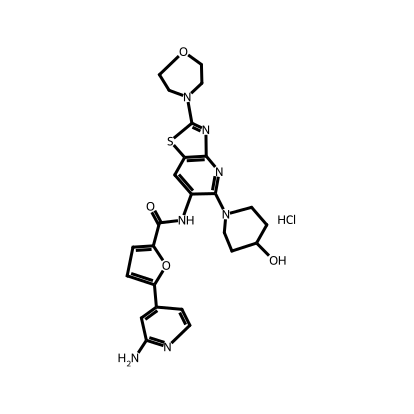 Cl.Nc1cc(-c2ccc(C(=O)Nc3cc4sc(N5CCOCC5)nc4nc3N3CCC(O)CC3)o2)ccn1